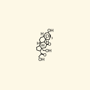 C[C@]12CC[C@@H](O)C[C@H]1CC[C@@H]1[C@@H]2C(=O)C[C@]2(CO)[C@@H](C(=O)CO)CC[C@@H]12